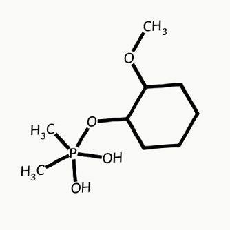 COC1CCCCC1OP(C)(C)(O)O